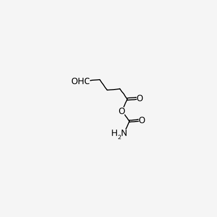 NC(=O)OC(=O)CCCC=O